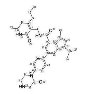 CCCC1=C(CNC(=O)c2cc(-c3ccc(N4CCNCC4=O)cc3)cc3c2c(C)cn3C(C)C)C(=O)NC(C)C1